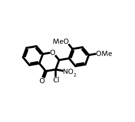 COc1ccc(C2Oc3ccccc3C(=O)C2(Cl)[N+](=O)[O-])c(OC)c1